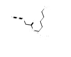 [N-]=[N+]=NCC(=O)N[C@H](CCCCN)C(=O)O